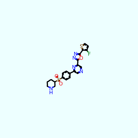 O=S(=O)(c1ccc(-c2cncc(-c3nnc(-c4sccc4F)o3)n2)cc1)C1CCCNC1